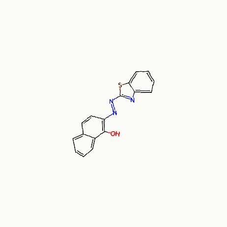 Oc1c(/N=N/c2nc3ccccc3s2)ccc2ccccc12